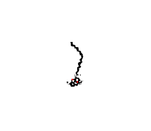 CCCCCCCC/C=C\CCCCCCCC(=O)OC1=CC[C@@]2(O)[C@H]3Cc4ccc(OC)c5c4[C@@]2(CCN3C)[C@H]1O5